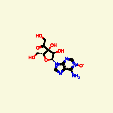 Nc1c2ncn([C@@H]3O[C@H](CO)[C@](O)(C(=O)CO)[C@H]3O)c2nc[n+]1[O-]